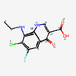 CCNc1c(Cl)c(F)cc2c(=O)c(C(=O)O)c[nH]c12